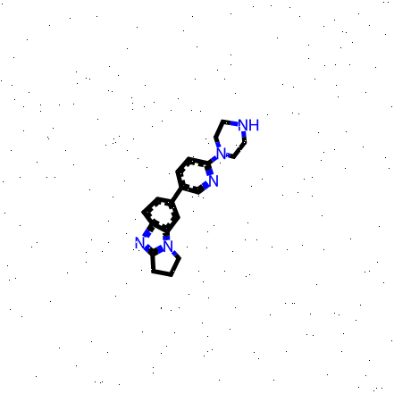 c1cc(N2CCNCC2)ncc1-c1ccc2nc3n(c2c1)CCC3